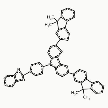 CC1(C)c2ccccc2-c2ccc(-c3ccc4c(c3)c3cc(-c5ccc6c(c5)C(C)(C)c5ccccc5-6)ccc3n4-c3ccc(-c4nc5ccccc5o4)cc3)cc21